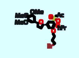 CCCOc1c(OCCCCBr)cc([C@@H]2CC[C@@H](c3cc(OC)c(OC)c(OC)c3)O2)cc1S(=O)(=O)CC(C)=O